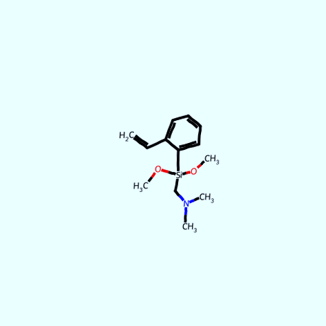 C=Cc1ccccc1[Si](CN(C)C)(OC)OC